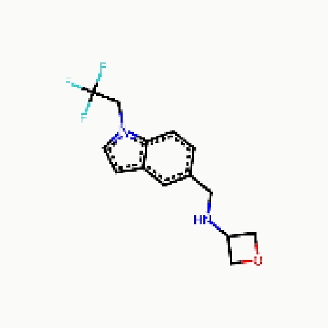 FC(F)(F)Cn1ccc2cc(CNC3COC3)ccc21